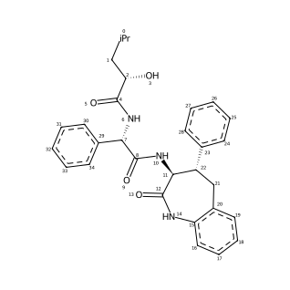 CC(C)C[C@H](O)C(=O)N[C@H](C(=O)N[C@@H]1C(=O)Nc2ccccc2C[C@H]1c1ccccc1)c1ccccc1